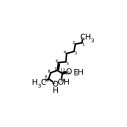 CCCCCCC=C(CC(C)O)C(=O)O.F